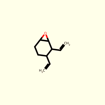 C=CC1CCC2OC2C1C=C